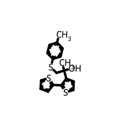 Cc1ccc(SCC(C)(O)c2ccsc2-c2cccs2)cc1